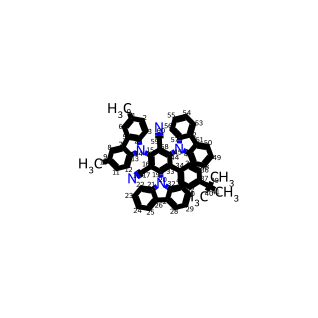 Cc1ccc2c(c1)c1cc(C)ccc1n2-c1c(C#N)c(-n2c3ccccc3c3ccccc32)c(-c2ccc(C(C)(C)C)cc2)c(-n2c3ccccc3c3ccccc32)c1C#N